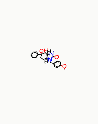 COc1ccc(CN2C(=O)N(C)[C@H]3CC(O)(c4ccccc4)CC[C@@H]32)cc1